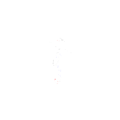 COc1cc(OC)c(-c2cn3ccc(N4CCN(CN5CCOCC5)CC4)cc3n2)cc1Br